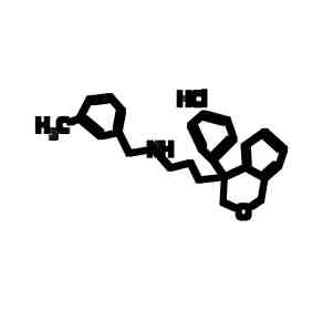 Cc1cccc(CNCCCC2(c3ccccc3)COCc3ccccc32)c1.Cl